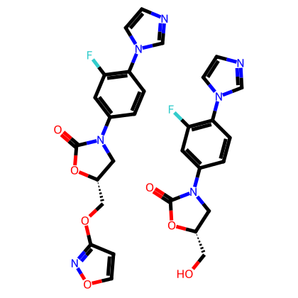 O=C1O[C@@H](CO)CN1c1ccc(-n2ccnc2)c(F)c1.O=C1O[C@@H](COc2ccon2)CN1c1ccc(-n2ccnc2)c(F)c1